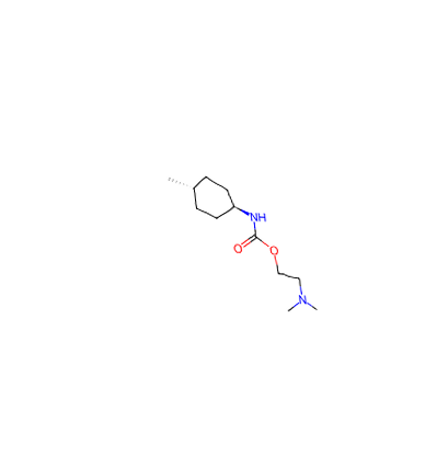 CN(C)CCOC(=O)N[C@H]1CC[C@H](C)CC1